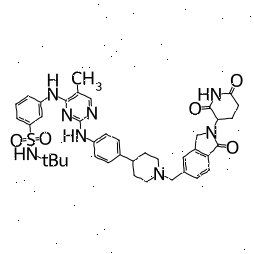 Cc1cnc(Nc2ccc(C3CCN(Cc4ccc5c(c4)CN(C4CCC(=O)NC4=O)C5=O)CC3)cc2)nc1Nc1cccc(S(=O)(=O)NC(C)(C)C)c1